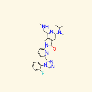 CNCc1nc(N(C)C(C)C)cc2c1CN(c1cccc(-c3nncn3-c3ccccc3F)n1)C2=O